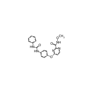 CONC(=O)c1nccc(Oc2ccc(NC(=O)Nc3ccccc3)cc2)n1